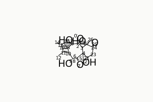 CO[C@H]1C2C(C)(C(=O)[C@H](O)C3=C(C)[C@@H](C)C[C@]1(O)C3(C)C)[C@@H](O)CC1OC[C@]12O